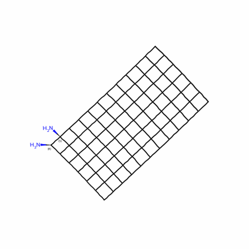 N[C@@H]1C2C3C4C5C6CC7C8C9C%10C%11C%12C%13C%14C%15C%16CC%17C%18C%19C%20C%21CC%22C%23C%24C%25C%26C%27C%28C%29C%30C%31%32C%29%33C%28%29C%27%28C%26%27C%25%26C%24%25C%23%24C%21%22C%20%21C%19%20C%18%19C%17%16C%15%16C%14%15C%13%14C%12%13C%11%12C%10%11C9%10C89C67C56C45C3(C%313C54C69C%105C%116C%127C%138C%149C%15%10C%19%16C%20%11C%21%24C%25%12C%26%13C%27%14C%28%15C%29%16C%333C45C6%16C7%15C8%14C9%13C%11%10%12)C2%32[C@@]%301N